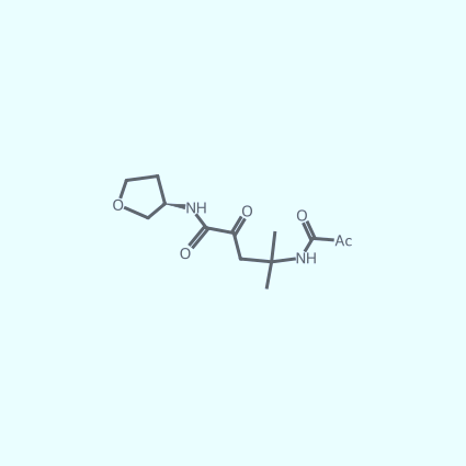 CC(=O)C(=O)NC(C)(C)CC(=O)C(=O)N[C@@H]1CCOC1